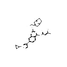 C/C(N)=C/C(=N)Nc1nc(N[C@@H]2C[C@H]3CC[C@@H](C2)N3CCC#N)nc2cc(-c3cnn(C4CC4)c3)ccc12